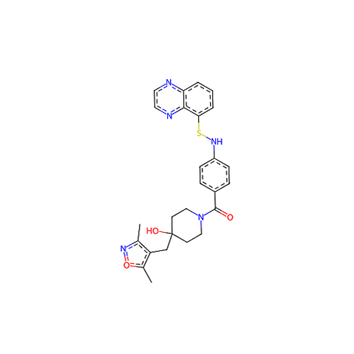 Cc1noc(C)c1CC1(O)CCN(C(=O)c2ccc(NSc3cccc4nccnc34)cc2)CC1